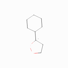 C1CCC(C2CCOO2)CC1